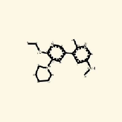 CCOc1ncc(-c2cc(NC)cnc2C)cc1N1CCCCC1